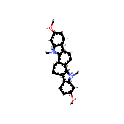 COc1ccc2c3ccc4c(ccc5c6ccc(OC)cc6n(C)c54)c3n(C)c2c1